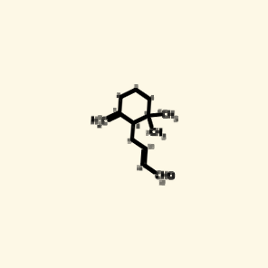 C=C1CCCC(C)(C)C1CC=CC=O